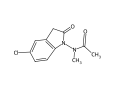 CC(=O)N(C)N1C(=O)Cc2cc(Cl)ccc21